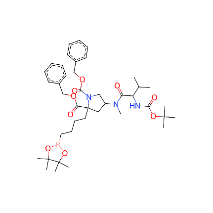 CC(C)C(NC(=O)OC(C)(C)C)C(=O)N(C)C1CN(C(=O)OCc2ccccc2)C(CCCCB2OC(C)(C)C(C)(C)O2)(C(=O)OCc2ccccc2)C1